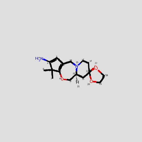 CC1(C)C(N)=CC2=C1OC[C@@H]1CC3(CCN1C2)OCCO3